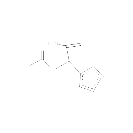 CC(=O)OC(C(N)=O)c1ccsc1